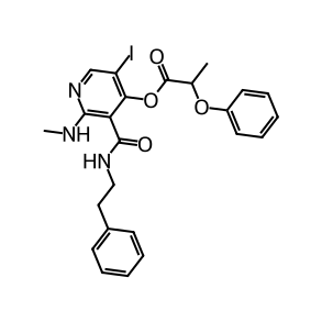 CNc1ncc(I)c(OC(=O)C(C)Oc2ccccc2)c1C(=O)NCCc1ccccc1